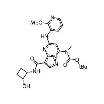 COc1ncccc1Nc1cc(N(C)C(=O)OC(C)(C)C)n2ncc(C(=O)N[C@H]3CC[C@H]3O)c2n1